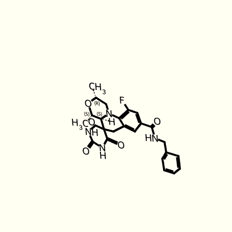 C[C@@H]1CN2c3c(F)cc(C(=O)NCc4ccccc4)cc3CC3(C(=O)NC(=O)NC3=O)[C@H]2[C@H](C)O1